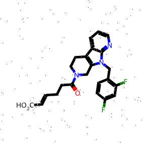 O=C(O)C=CCCC(=O)N1CCc2c(n(Cc3ccc(F)cc3F)c3ncccc23)C1